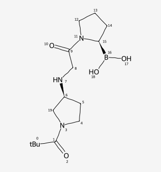 CC(C)(C)C(=O)N1CC[C@H](NCC(=O)N2CCC[C@H]2B(O)O)C1